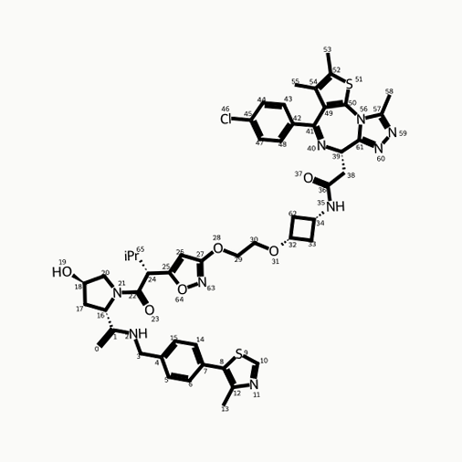 C=C(NCc1ccc(-c2scnc2C)cc1)[C@@H]1C[C@@H](O)CN1C(=O)[C@@H](c1cc(OCCO[C@H]2C[C@@H](NC(=O)C[C@@H]3N=C(c4ccc(Cl)cc4)c4c(sc(C)c4C)-n4c(C)nnc43)C2)no1)C(C)C